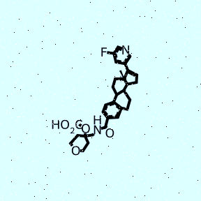 C[C@]12CCC3c4ccc(C(=O)NCC5(OC(=O)O)CCOCC5)cc4CCC3C1CC=C2c1cncc(F)c1